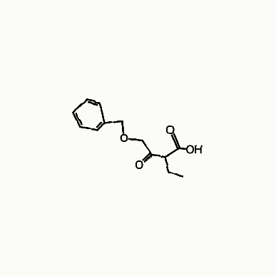 CCC(C(=O)O)C(=O)COCc1ccccc1